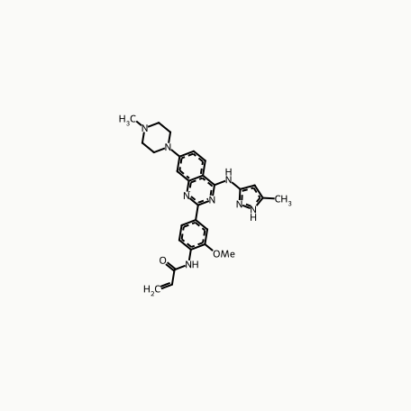 C=CC(=O)Nc1ccc(-c2nc(Nc3cc(C)[nH]n3)c3ccc(N4CCN(C)CC4)cc3n2)cc1OC